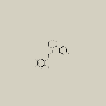 COc1ccc(C2CNCCN2CCOc2cc(C)c(O)cc2C(C)C)cc1.Cl.Cl